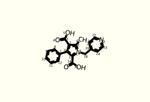 Cc1c(C(=O)O)c(-c2ccccc2)c(C(=O)O)n1Cc1ccncc1